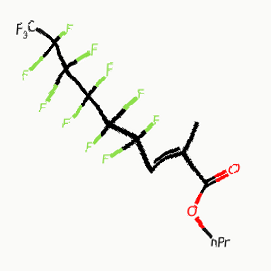 CCCOC(=O)C(C)=CC(F)(F)C(F)(F)C(F)(F)C(F)(F)C(F)(F)C(F)(F)F